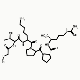 CCOCC(=O)N[C@H](C(=O)N[C@@H](CCCCN)C(=O)N1CCCC1C(=O)N1CCC[C@H]1C(=O)N[C@@H](CCCNC(=N)N)C(=O)O)[C@@H](C)O